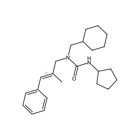 C/C(=C\c1ccccc1)CN(CC1CCCCC1)C(=O)NC1CCCC1